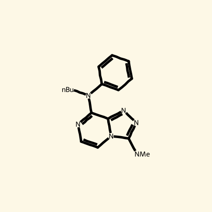 CCCCN(c1ccccc1)c1nccn2c(NC)nnc12